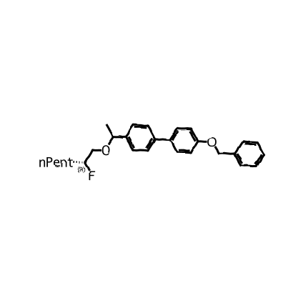 CCCCC[C@@H](F)COC(C)c1ccc(-c2ccc(OCc3ccccc3)cc2)cc1